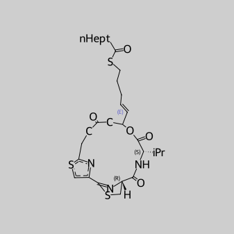 CCCCCCCC(=O)SCCC/C=C/C1CC(=O)CCc2nc(cs2)C2=N[C@@H](CS2)C(=O)N[C@@H](C(C)C)C(=O)O1